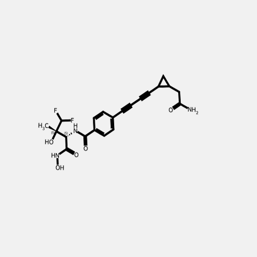 C[C@@](O)(C(F)F)[C@H](NC(=O)c1ccc(C#CC#CC2CC2CC(N)=O)cc1)C(=O)NO